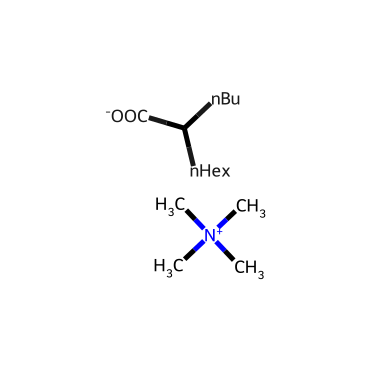 CCCCCCC(CCCC)C(=O)[O-].C[N+](C)(C)C